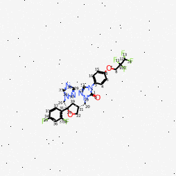 O=c1n(-c2ccc(OCC(F)(F)C(F)F)cc2)cnn1C[C@@H]1CO[C@@](Cn2cncn2)(c2ccc(F)cc2F)C1